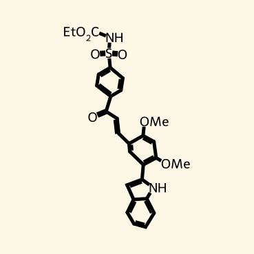 CCOC(=O)NS(=O)(=O)c1ccc(C(=O)C=Cc2cc(-c3cc4ccccc4[nH]3)c(OC)cc2OC)cc1